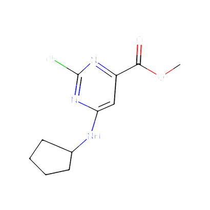 COC(=O)c1cc(NC2CCCC2)nc(Cl)n1